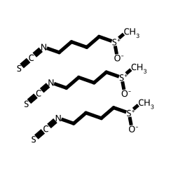 C[S+]([O-])CCCCN=C=S.C[S+]([O-])CCCCN=C=S.C[S+]([O-])CCCCN=C=S